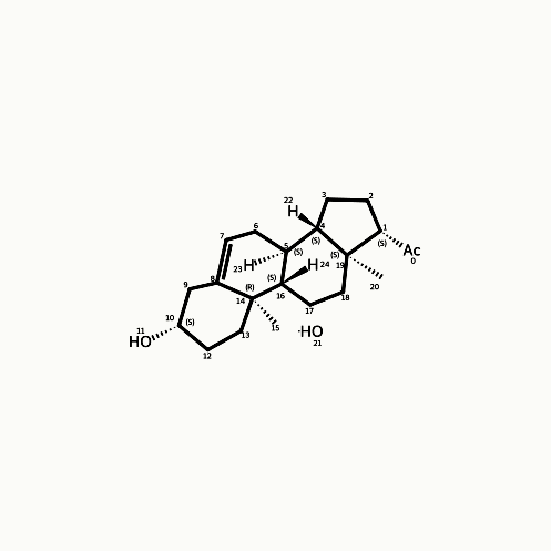 CC(=O)[C@H]1CC[C@H]2[C@@H]3CC=C4C[C@@H](O)CC[C@]4(C)[C@H]3CC[C@]12C.[OH]